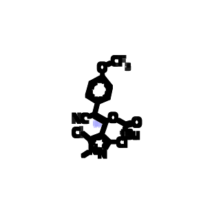 Cn1nc(Cl)c(/C(OC(=O)C(C)(C)C)=C(\C#N)c2ccc(OC(F)(F)F)cc2)c1Cl